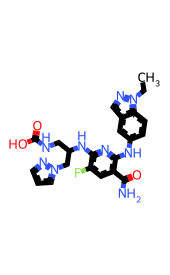 CCn1ncc2cc(Nc3nc(NC(CNC(=O)O)Cn4cccn4)c(F)cc3C(N)=O)ccc21